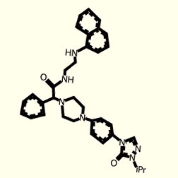 CC(C)n1ncn(-c2ccc(N3CCN(C(C(=O)NCCNc4cccc5ccccc45)c4ccccc4)CC3)cc2)c1=O